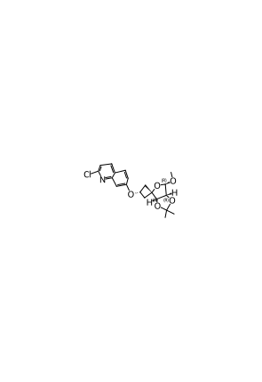 CO[C@@H]1O[C@]2(C[C@@H](Oc3ccc4ccc(Cl)nc4c3)C2)[C@H]2OC(C)(C)O[C@@H]12